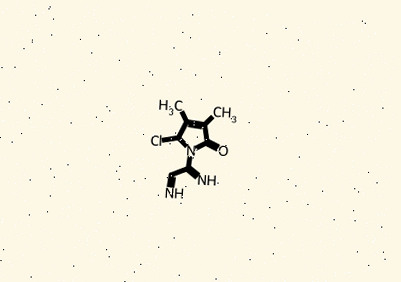 CC1=C(C)C(Cl)N(C(=N)C=N)C1=O